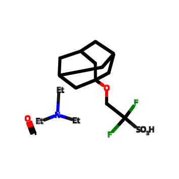 CCN(CC)CC.O=S(=O)(O)C(F)(F)COC12CC3CC(CC(C3)C1)C2.[C]=O